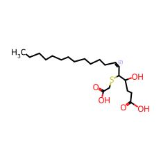 CCCCCCCCCCCC/C=C\C(SCC(=O)O)C(O)CCC(=O)O